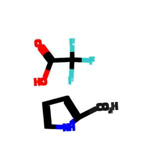 O=C(O)C(F)(F)F.O=C(O)c1ccc[nH]1